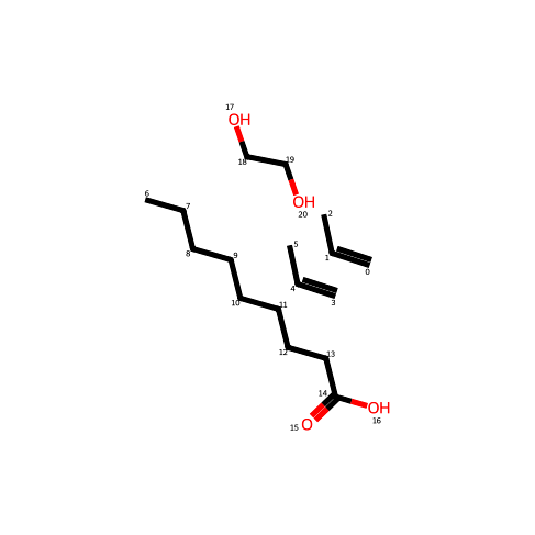 C=CC.C=CC.CCCCCCCCC(=O)O.OCCO